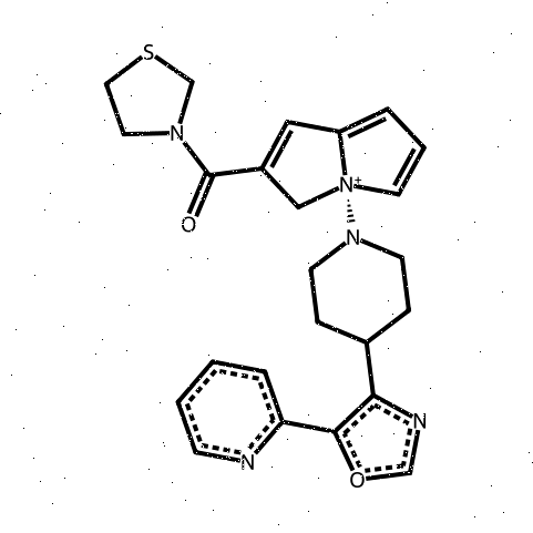 O=C(C1=CC2=CC=C[N@@+]2(N2CCC(c3ncoc3-c3ccccn3)CC2)C1)N1CCSC1